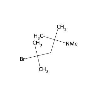 CNC(C)(C)CC(C)(C)Br